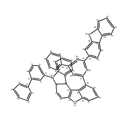 C1=CC2C(c3ccccc3N2c2cccc(-c3ccccc3)c2)c2c1oc1cccc(-c3nc(-c4ccccc4)nc(-c4ccc5c(c4)sc4ccccc45)n3)c21